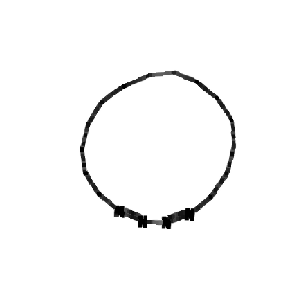 C1CCCCCCCN=NN=NCCCCCC1